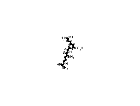 C[C@H](NC(=O)[C@@H](N)CCCNC(=N)N)C(=O)N[C@@H](CCCNC(=N)N)C(=O)O